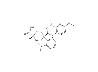 COc1ccc(NC(=O)[C@]2(c3ccccc3C(C)C)CC[C@@](C)(C(=O)O)CC2)c(OC)n1